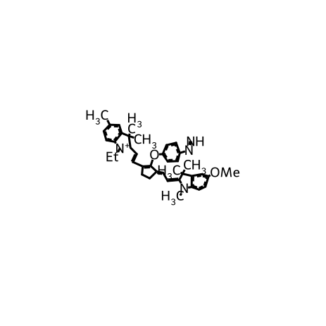 CC[N+]1=C(/C=C/C2=C(Oc3ccc(N=N)cc3)C(=C/C=C3/N(C)c4ccc(OC)cc4C3(C)C)/CC2)C(C)(C)c2cc(C)ccc21